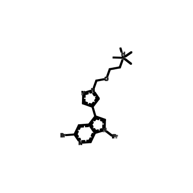 CC(C)n1cc(-c2cnn(COCC[SH](C)(C)(C)C)c2)c2cc(Br)ncc21